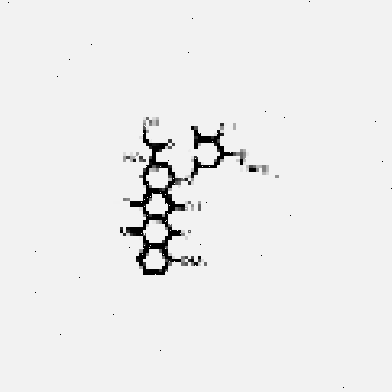 COc1cccc2c1C(=O)c1c(O)c3c(c(O)c1C2=O)C[C@@](O)(C(=O)CO)C[C@@H]3OC1CC(NON)C(O)C(C)O1